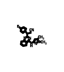 Cc1cc(Nc2nc(C(CC#N)c3ccc(F)cc3)nc3ccccc23)nn1C